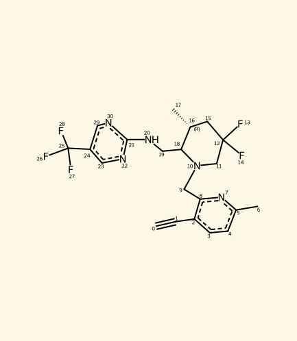 C#Cc1ccc(C)nc1CN1CC(F)(F)C[C@@H](C)C1CNc1ncc(C(F)(F)F)cn1